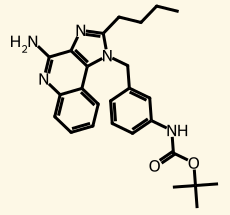 CCCCc1nc2c(N)nc3ccccc3c2n1Cc1cccc(NC(=O)OC(C)(C)C)c1